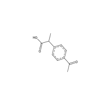 CC(=O)c1ccc(C(C)C(=O)O)cc1